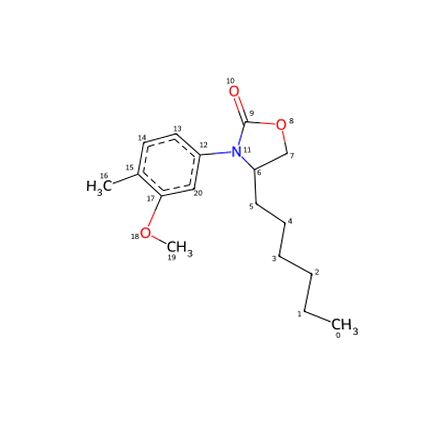 CCCCCCC1COC(=O)N1c1ccc(C)c(OC)c1